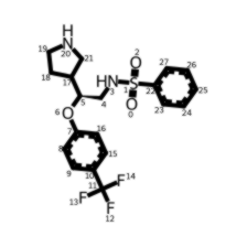 O=S(=O)(NC[C@@H](Oc1ccc(C(F)(F)F)cc1)C1CCNC1)c1ccccc1